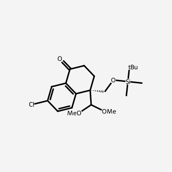 COC(OC)[C@]1(CO[Si](C)(C)C(C)(C)C)CCC(=O)c2cc(Cl)ccc21